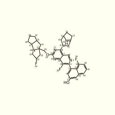 Oc1cc(-c2ncc3c(N4CC5CCC(C4)N5)nc(OCC45CC(F)CN4C4CCCC4C5)nc3c2F)c2c(F)cccc2c1